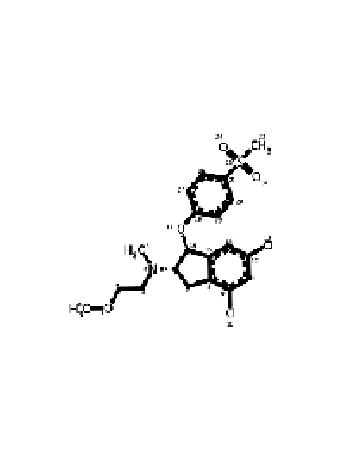 COCCN(C)[C@H]1Cc2c(Cl)cc(Cl)cc2[C@@H]1Oc1ccc(S(C)(=O)=O)cc1